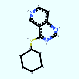 c1cc2ncnc(SC3CCCCC3)c2cn1